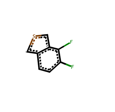 Fc1ccc2[c]scc2c1F